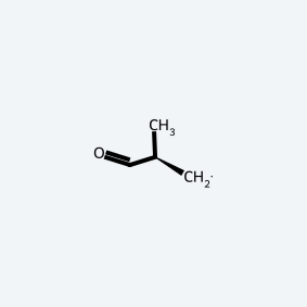 [CH2][C@H](C)C=O